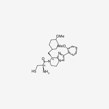 COc1ccccc1-c1cn2c(n1)[C@H](CC1CCC(OC)CC1)N(C(=O)[C@@H](N)CS)CC2